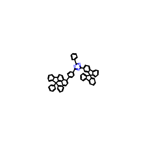 c1ccc(-c2nc(-c3ccc(-c4cccc5c6c(ccc45)-c4ccccc4C6(c4ccccc4)c4ccccc4)cc3)nc(-c3ccc4c(c3)C3(c5ccccc5-c5ccccc53)c3ccccc3-4)n2)cc1